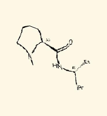 CC[C@@H](NC(=O)[C@@H]1CCCN1C)C(C)C